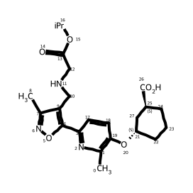 Cc1nc(-c2onc(C)c2CNCC(=O)OC(C)C)ccc1O[C@H]1CCC[C@H](C(=O)O)C1